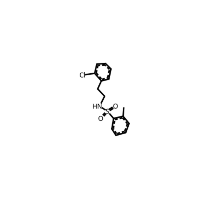 Cc1ccccc1S(=O)(=O)NCCc1ccccc1Cl